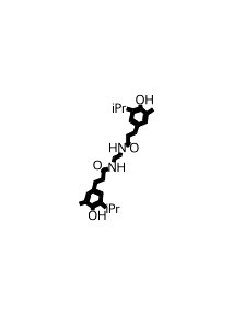 Cc1cc(CCC(=O)NCCNC(=O)CCc2cc(C)c(O)c(C(C)C)c2)cc(C(C)C)c1O